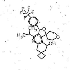 CC(C)c1nc2c(c3c1[C@@H](c1ccc(S(F)(F)(F)(F)F)cc1)OC31CCOCC1)[C@@H](O)CC1(CCC1)C2